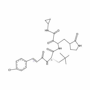 CC(C)(C)C[C@H](NC(=O)/C=C/c1ccc(Cl)cc1)C(=O)NC(CC1CCNC1=O)C(=O)C(=O)NC1CC1